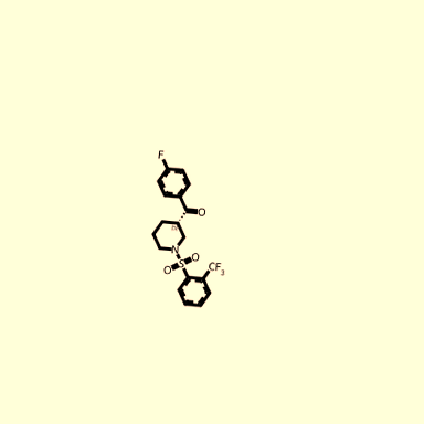 O=C(c1ccc(F)cc1)[C@H]1CCCN(S(=O)(=O)c2ccccc2C(F)(F)F)C1